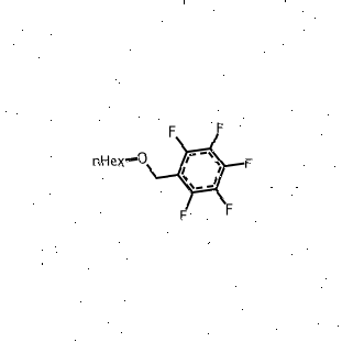 [CH2]CCCCCOCc1c(F)c(F)c(F)c(F)c1F